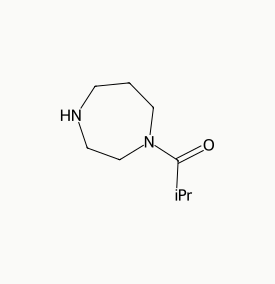 CC(C)C(=O)N1CCCNCC1